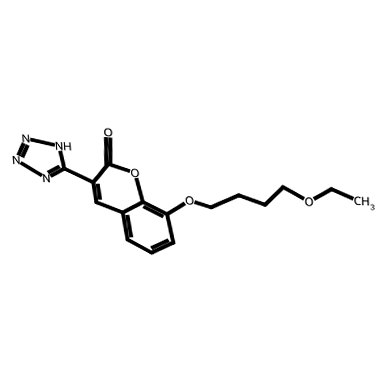 CCOCCCCOc1cccc2cc(-c3nnn[nH]3)c(=O)oc12